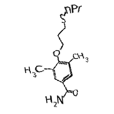 CCCSCCCOc1c(C)cc(C(N)=O)cc1C